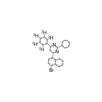 [2H]c1c([2H])c([2H])c(-c2cc(-c3ccc(Br)c4ccccc34)nc(-c3ccccc3)n2)c([2H])c1[2H]